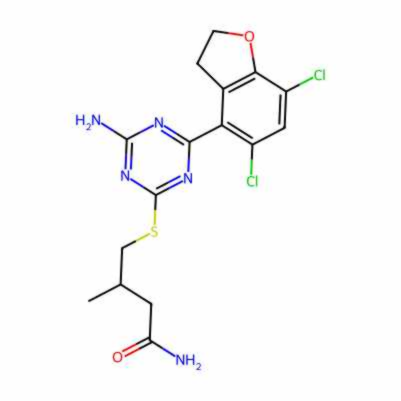 CC(CSc1nc(N)nc(-c2c(Cl)cc(Cl)c3c2CCO3)n1)CC(N)=O